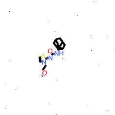 COCCn1ccs/c1=N\C(=O)NC1C2CC3CC(C2)CC1C3